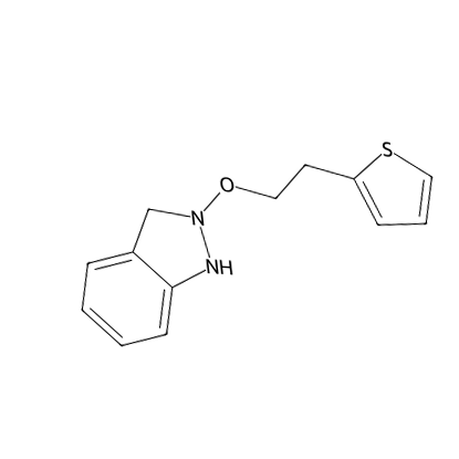 c1csc(CCON2Cc3ccccc3N2)c1